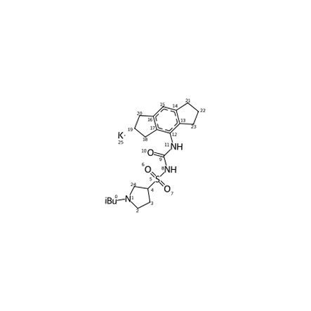 CCC(C)N1CCC(S(=O)(=O)NC(=O)Nc2c3c(cc4c2CCC4)CCC3)C1.[K]